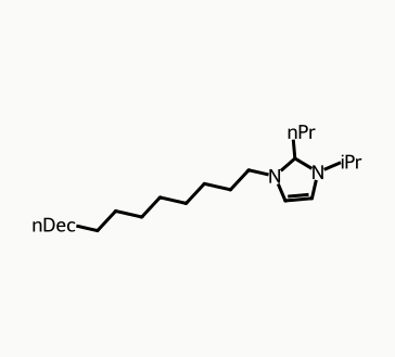 CCCCCCCCCCCCCCCCCCN1C=CN(C(C)C)C1CCC